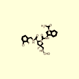 NC(=O)n1cc(NC(=O)N2C[C@@](F)(CNC=O)C[C@H]2C(=O)NCc2cccc(Cl)c2F)c2ccccc21